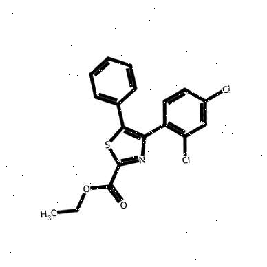 CCOC(=O)c1nc(-c2ccc(Cl)cc2Cl)c(-c2ccccc2)s1